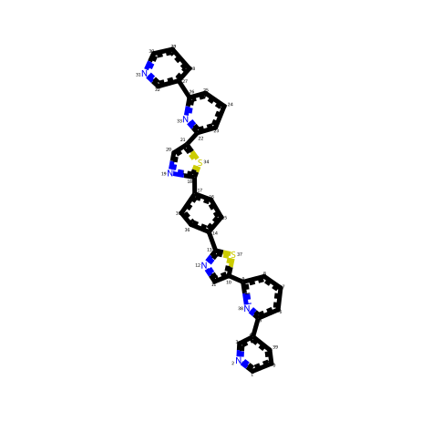 c1cncc(-c2cccc(-c3cnc(-c4ccc(-c5ncc(-c6cccc(-c7cccnc7)n6)s5)cc4)s3)n2)c1